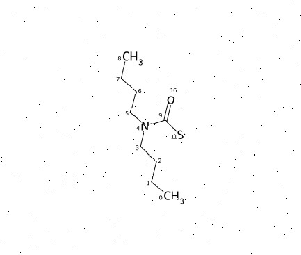 CCCCN(CCCC)C(=O)[S]